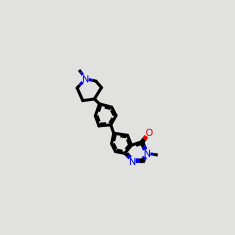 CN1CCC(c2ccc(-c3ccc4ncn(C)c(=O)c4c3)cc2)CC1